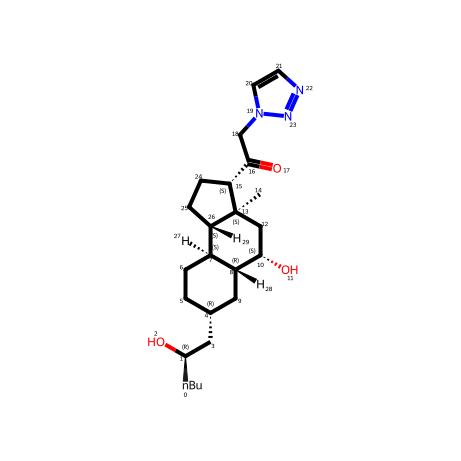 CCCC[C@@H](O)C[C@@H]1CC[C@@H]2[C@@H](C1)[C@@H](O)C[C@]1(C)[C@@H](C(=O)Cn3ccnn3)CC[C@@H]21